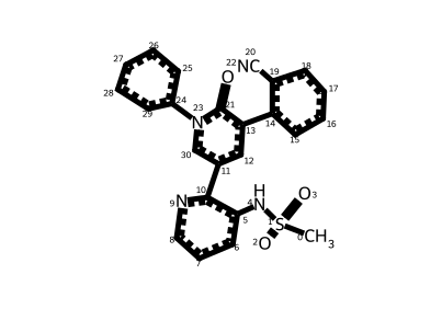 CS(=O)(=O)Nc1cccnc1-c1cc(-c2ccccc2C#N)c(=O)n(-c2ccccc2)c1